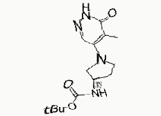 Cc1c(N2CC[C@@H](NC(=O)OC(C)(C)C)C2)cn[nH]c1=O